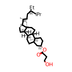 CC[C@H](CC[C@@H](C)[C@H]1CC[C@H]2[C@@H]3CCC4C[C@@H](OC(=O)CCO)CC[C@]4(C)[C@H]3CC[C@]12C)C(C)C